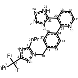 CCCc1nc(C(F)(F)CCC)nn1Cc1ccc(-c2ncccc2-c2nnn[nH]2)cc1